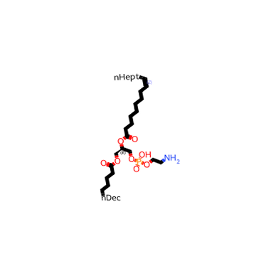 CCCCCCC/C=C\CCCCCCCC(=O)O[C@H](COC(=O)CCCCCCCCCCCCCC)COP(=O)(O)OCCN